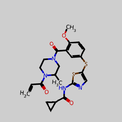 C=CC(=O)N1CCN(C(=O)c2cc(Sc3cnc(NC(=O)C4CC4)s3)ccc2OC)CC1C